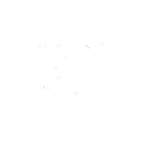 COC(=O)C1=CC=CSN=C1C(=O)OC